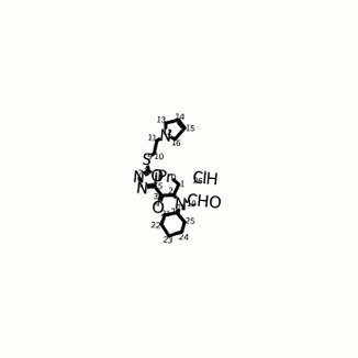 CC(C)CC(C(=O)c1nnc(SCCN2CC=CC2)o1)N(C=O)C1CCCCC1.Cl